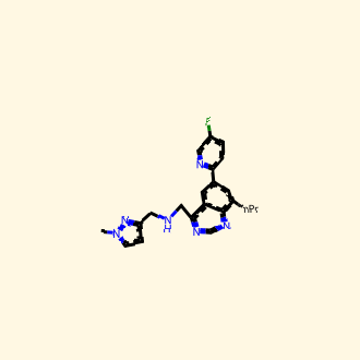 CCCc1cc(-c2ccc(F)cn2)cc2c(CNCc3ccn(C)n3)ncnc12